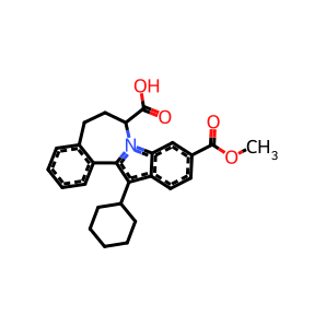 COC(=O)c1ccc2c(C3CCCCC3)c3n(c2c1)C(C(=O)O)CCc1ccccc1-3